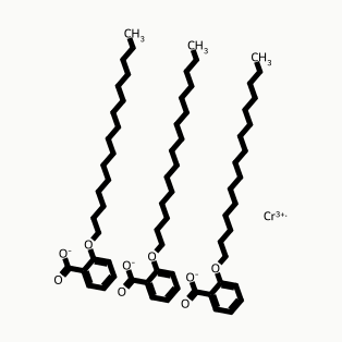 CCCCCCCCCCCCCCCCOc1ccccc1C(=O)[O-].CCCCCCCCCCCCCCCCOc1ccccc1C(=O)[O-].CCCCCCCCCCCCCCCCOc1ccccc1C(=O)[O-].[Cr+3]